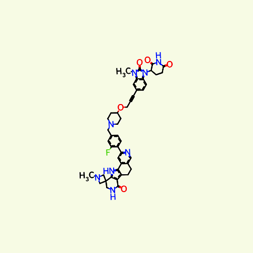 CN1CC2(CNC(=O)c3c2[nH]c2c3CCc3cnc(-c4ccc(CN5CCC(OCC#Cc6ccc7c(c6)n(C)c(=O)n7C6CCC(=O)NC6=O)CC5)cc4F)cc3-2)C1